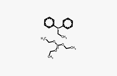 CCO[SiH](OCC)OCC.CCP(c1ccccc1)c1ccccc1